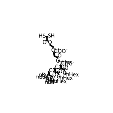 CCCCCCOC(=O)/C=C\C(=O)[O-].CCCCCCOC(=O)/C=C\C(=O)[O-].CCCCCCOC(=O)/C=C\C(=O)[O-].CCCCCCOC(=O)/C=C\C(=O)[O-].CCC[CH2][Sn+2][CH2]CCC.CCC[CH2][Sn][CH2]CCC.O=C(OCCO)C(S)S